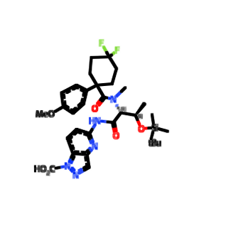 COc1ccc(C2(C(=O)N(C)[C@@H](C(=O)Nc3ccc4c(cnn4C(=O)O)n3)[C@@H](C)O[Si](C)(C)C(C)(C)C)CCC(F)(F)CC2)cc1